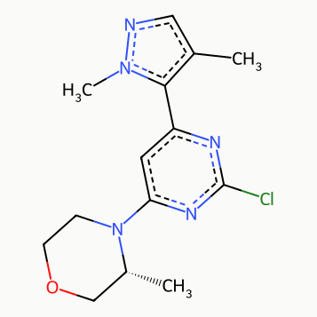 Cc1cnn(C)c1-c1cc(N2CCOC[C@H]2C)nc(Cl)n1